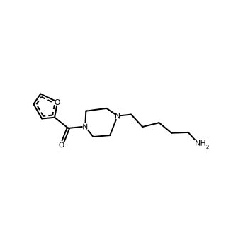 NCCCCCN1CCN(C(=O)c2ccco2)CC1